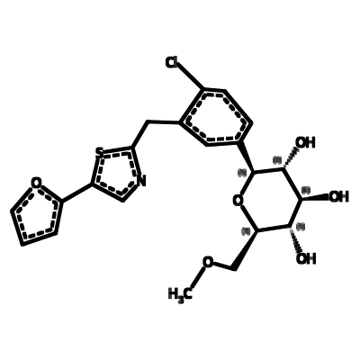 COC[C@H]1O[C@@H](c2ccc(Cl)c(Cc3ncc(-c4ccco4)s3)c2)[C@H](O)[C@@H](O)[C@@H]1O